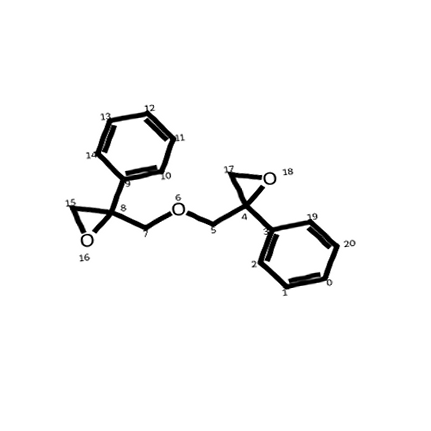 c1ccc(C2(COCC3(c4ccccc4)CO3)CO2)cc1